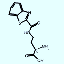 N[C@@H](CCNC(=O)c1nc2ccccc2s1)C(=O)O